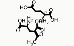 Cc1onc(O)c1CC(N)C(=O)O.N[C@@H](CCC(=O)O)C(=O)O